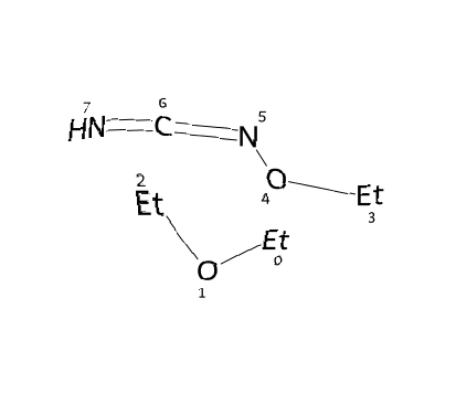 CCOCC.CCON=C=N